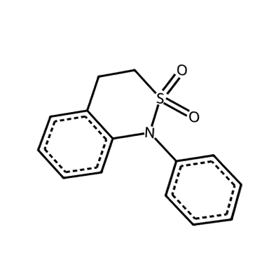 O=S1(=O)CCc2ccccc2N1c1ccccc1